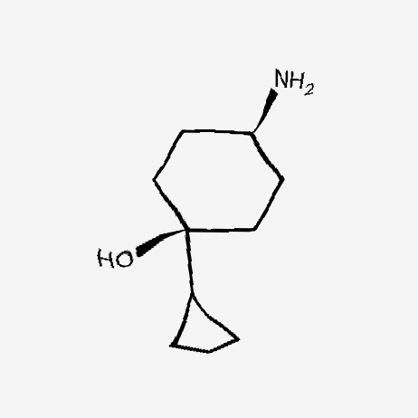 N[C@H]1CC[C@](O)(C2CC2)CC1